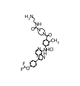 Cc1cc(Nc2nccn3c(-c4ccc(OC(F)F)cc4)cnc23)ccc1C(=O)N1CCN(C(=O)NCCN)CC1.Cl